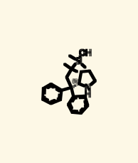 CC(C)(CC(c1ccccc1)(c1ccccc1)[C@@H]1CCCN1)[Si](C)(C)O